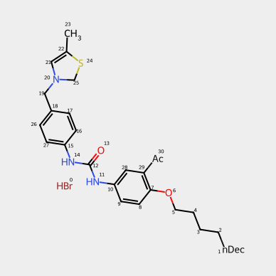 Br.CCCCCCCCCCCCCCOc1ccc(NC(=O)Nc2ccc(CN3C=C(C)SC3)cc2)cc1C(C)=O